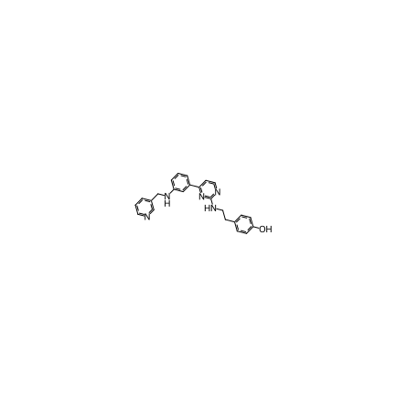 Oc1ccc(CCNc2nccc(-c3cccc(NCc4cccnc4)c3)n2)cc1